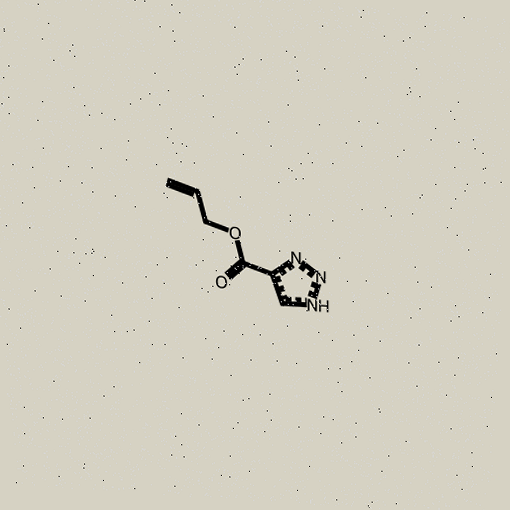 C=CCOC(=O)c1c[nH]nn1